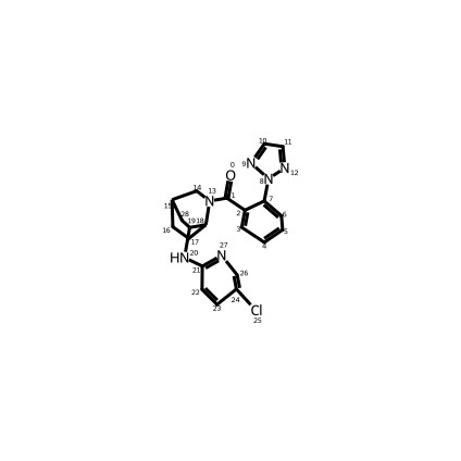 O=C(c1ccccc1-n1nccn1)N1CC2CCC1C(Nc1ccc(Cl)cn1)C2